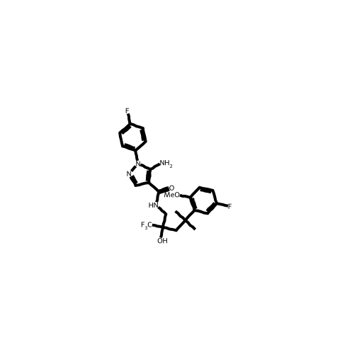 COc1ccc(F)cc1C(C)(C)CC(O)(CNC(=O)c1cnn(-c2ccc(F)cc2)c1N)C(F)(F)F